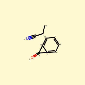 CCC#N.O=c1c2ccccc12